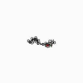 C[C@H](NC(=O)CCN1C(=O)C=CC1=O)C(=O)N[C@@H](C)C(=O)Nc1cccc(SCc2ccc([C@H]3O[C@@H]4CC5[C@@H]6C[C@H](F)C7=CC(=O)C=C[C@]7(C)C6[C@@H](O)C[C@]5(C)[C@]4(C(=O)CO)O3)cc2)c1